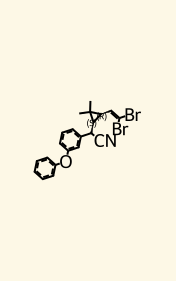 CC1(C)[C@H](C(C#N)c2cccc(Oc3ccccc3)c2)[C@@H]1C=C(Br)Br